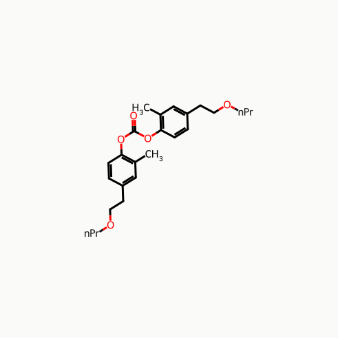 CCCOCCc1ccc(OC(=O)Oc2ccc(CCOCCC)cc2C)c(C)c1